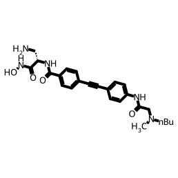 CCCCN(C)CC(=O)Nc1ccc(C#Cc2ccc(C(=O)N[C@@H](CN)C(=O)NO)cc2)cc1